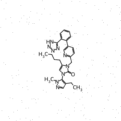 CCCCc1cn(-c2c(CC)cnn2C)c(=O)n1Cc1ccc(-c2ccccc2-c2nnn[nH]2)cn1